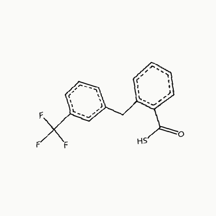 O=C(S)c1ccccc1Cc1cccc(C(F)(F)F)c1